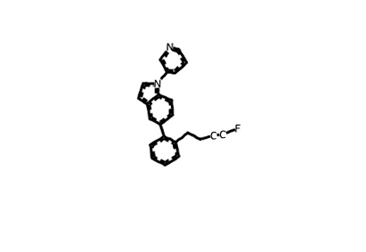 FCCCCc1ccccc1-c1ccc2c(ccn2-c2cccnc2)c1